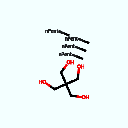 CCCCCC.CCCCCC.CCCCCC.CCCCCC.OCC(CO)(CO)CO